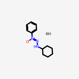 [KH].[O-][N+](=NNC1CCCCC1)c1ccccc1